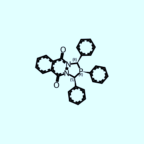 O=c1c2ccccc2c(=O)n2n1[C@@H](c1ccccc1)[P@@](c1ccccc1)[C@H]2c1ccccc1